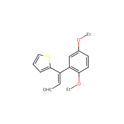 CCOc1ccc(OCC)c(C(=CC=O)c2cccs2)c1